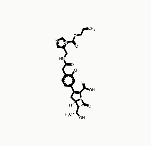 C=CCOC(=O)n1cncc1CNC(=O)Cc1ccc(C2=C(C(=O)O)N3C(=O)[C@H]([C@@H](C)O)[C@H]3C2)cc1Cl